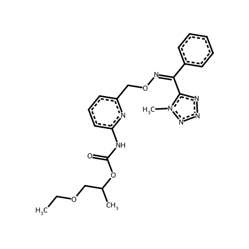 CCOCC(C)OC(=O)Nc1cccc(CO/N=C(/c2ccccc2)c2nnnn2C)n1